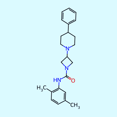 Cc1ccc(C)c(NC(=O)N2CC(N3CCC(c4ccccc4)CC3)C2)c1